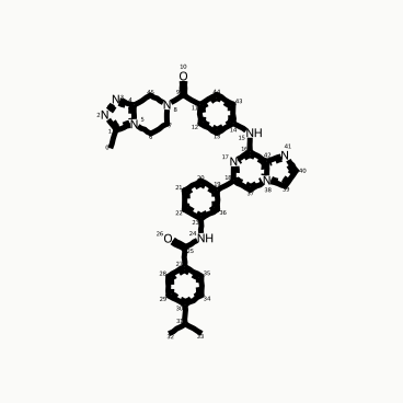 Cc1nnc2n1CCN(C(=O)c1ccc(Nc3nc(-c4cccc(NC(=O)c5ccc(C(C)C)cc5)c4)cn4ccnc34)cc1)C2